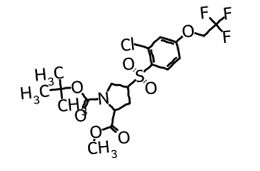 COC(=O)C1CC(S(=O)(=O)c2ccc(OCC(F)(F)F)cc2Cl)CN1C(=O)OC(C)(C)C